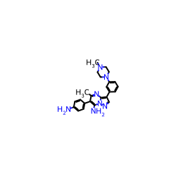 Cc1nc2c(-c3cccc(N4CCN(C)CC4)c3)cnn2c(N)c1-c1ccc(N)cc1